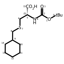 CC(C)(C)OC(=O)N[C@H](CSCC1CCCCC1)C(=O)O